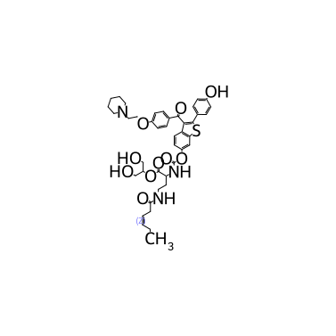 CC/C=C\CC(=O)NCCC(NC(=O)Oc1ccc2c(C(=O)c3ccc(OCCN4CCCCC4)cc3)c(-c3ccc(O)cc3)sc2c1)C(=O)OC(CO)CO